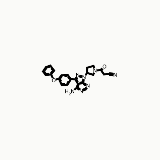 N#CCC(=O)N1CCC(n2nc(-c3ccc(Oc4ccccc4)cc3)c3c(N)ncnc32)C1